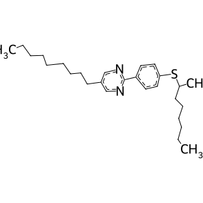 CCCCCCCCCc1cnc(-c2ccc(SC(C)CCCCCC)cc2)nc1